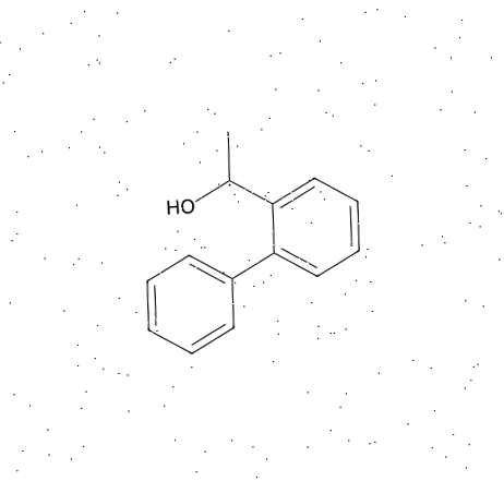 C[C](O)c1ccccc1-c1ccccc1